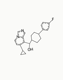 OC(c1c(C2CC2)ccn2cncc12)C1CCC(c2ccc(F)cc2)CC1